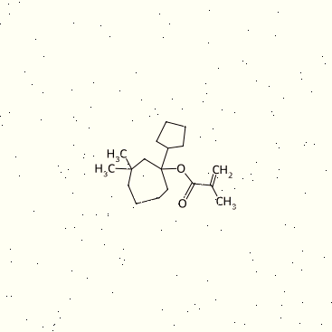 C=C(C)C(=O)OC1(C2CCCC2)CCCCC(C)(C)C1